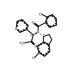 NC(=O)[C@@H](c1cccnc1)N(C(=O)c1ccccc1Cl)[C@@H]1CCc2ccc(Cl)cc21